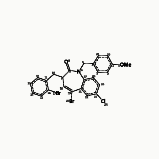 COc1ccc(CN2C(=O)C(Cc3ccccc3Br)C=C(Br)c3cc(Cl)ccc32)cc1